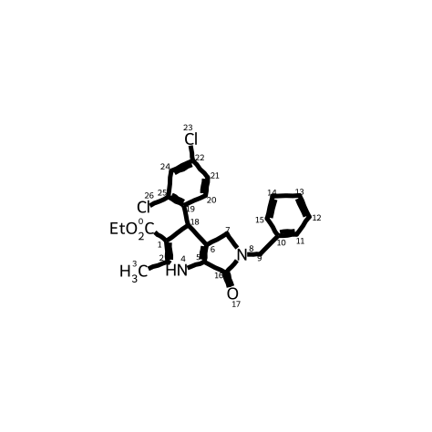 CCOC(=O)C1=C(C)NC2=C(CN(Cc3ccccc3)C2=O)C1c1ccc(Cl)cc1Cl